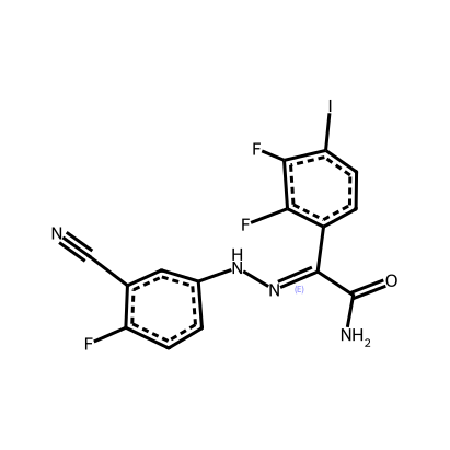 N#Cc1cc(N/N=C(/C(N)=O)c2ccc(I)c(F)c2F)ccc1F